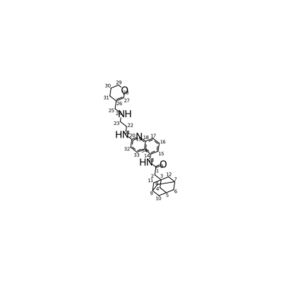 O=C(CC12CC3CC(CC(C3)C1)C2)Nc1cccc2nc(NCCNCC3=COCCC3)ccc12